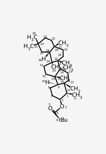 C[C@H]1[C@@H](OC(=O)C(C)(C)C)CC[C@@H]2[C@]1(C)CC[C@]1(C)[C@@]3(C)CC[C@@]4(C)CCC(C)(C)C[C@H]4[C@]3(C)CC[C@@]21C